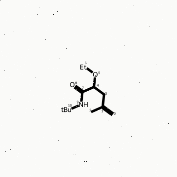 C=C(C)CC(OCC)C(=O)NC(C)(C)C